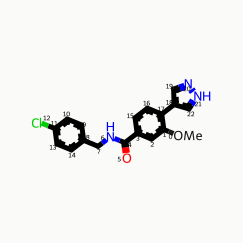 COc1cc(C(=O)NCc2ccc(Cl)cc2)ccc1-c1cn[nH]c1